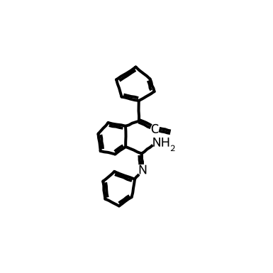 C=C=C(c1ccccc1)c1ccccc1/C(N)=N\c1ccccc1